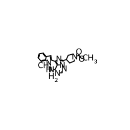 COC(=O)N1CCC(c2nc(-c3cc4cccc(C)c4[nH]3)c3c(N)ncnn23)CC1